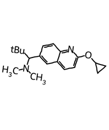 [CH2]C(C)(C)C(c1ccc2nc(OC3CC3)ccc2c1)N(C)C